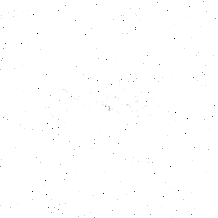 c1ccc2c(-c3ccc(-c4nc5ccc6c7ccccc7oc6c5c5ccccc45)cc3)cccc2c1